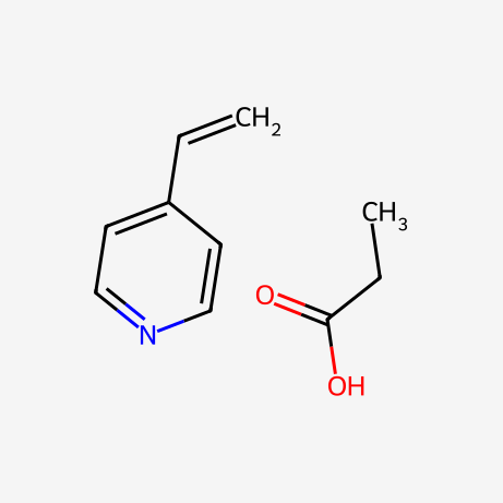 C=Cc1ccncc1.CCC(=O)O